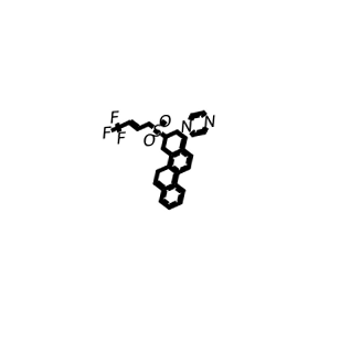 O=S(=O)(CC=CC(F)(F)F)C1CC=c2ccc3c(c2C1)CC=c1ccccc1=3.c1cnccn1